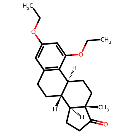 CCOc1cc2c(c(OCC)c1)[C@H]1CC[C@]3(C)C(=O)CC[C@H]3[C@@H]1CC2